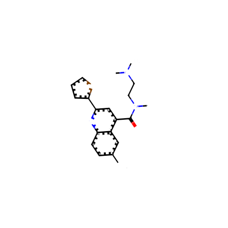 Cc1ccc2nc(-c3cccs3)cc(C(=O)N(C)CCN(C)C)c2c1